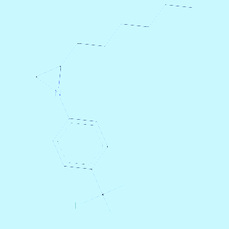 CCCCCCC1CN1c1ccc(C(F)(F)F)cc1